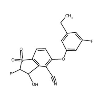 CCc1cc(F)cc(Oc2ccc3c(c2C#N)C(O)C(F)S3(=O)=O)c1